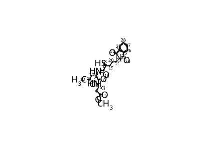 COC(=O)CCNC(=O)[C@H](CC(C)C)NC(=O)C(S)CCCN1C(=O)c2ccccc2C1=O